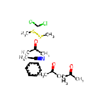 CC#N.CC(C)=O.CC(C)=O.CC(C)=O.CSSC.ClCCl.c1ccccc1